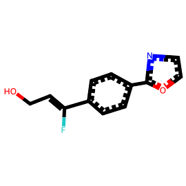 OC/C=C(\F)c1ccc(-c2ncco2)cc1